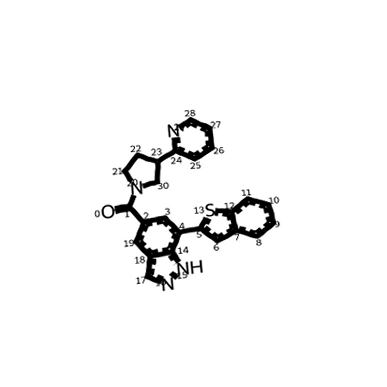 O=C(c1cc(-c2cc3ccccc3s2)c2[nH]ncc2c1)N1CCC(c2ccccn2)C1